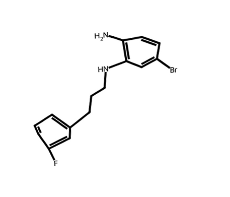 Nc1ccc(Br)cc1NCCCc1cccc(F)c1